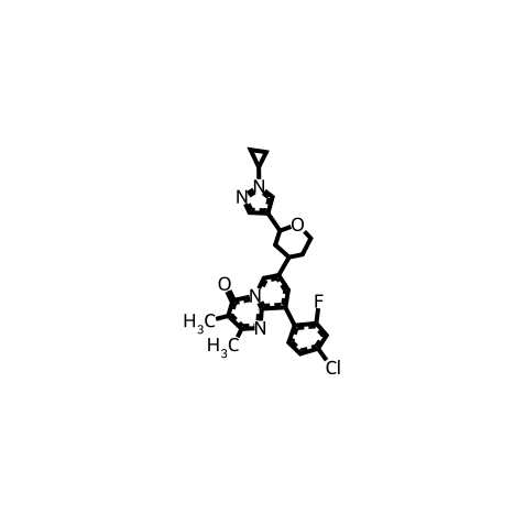 Cc1nc2c(-c3ccc(Cl)cc3F)cc(C3CCOC(c4cnn(C5CC5)c4)C3)cn2c(=O)c1C